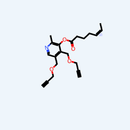 C#CCOCc1cnc(C)c(OC(=O)CCC/C=C\C)c1COCC#C